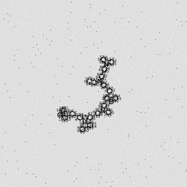 c1cc(-c2ccc(N(c3ccc(-c4ccc(-n5c6ccccc6c6cc(-c7ccc(-c8cccc(-c9ccc(N(c%10ccc(-c%11ccc(-n%12c%13ccccc%13c%13ccccc%13%12)cc%11)cc%10)c%10ccc%11ccccc%11c%10)cc9)c8)c8c7oc7ccccc78)ccc65)cc4)cc3)c3cc4ccccc4c4ccccc34)cc2)cc(-c2cccc3oc4ccccc4c23)c1